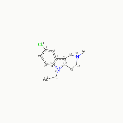 CC(=O)Cn1c2c(c3cc(Cl)ccc31)CN(C)CC2